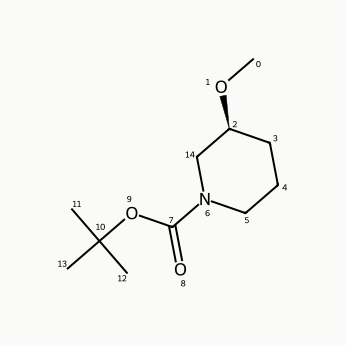 CO[C@H]1CCCN(C(=O)OC(C)(C)C)C1